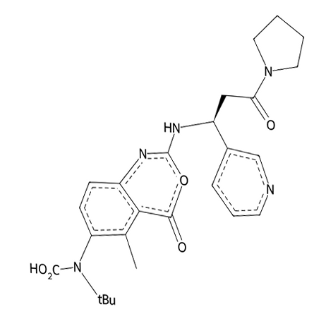 Cc1c(N(C(=O)O)C(C)(C)C)ccc2nc(N[C@@H](CC(=O)N3CCCC3)c3cccnc3)oc(=O)c12